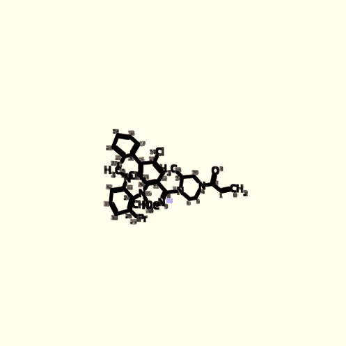 C=CC(=O)N1CCN(/C(=N/C)c2cc(Cl)c(-c3ccccc3F)nc2N(C=O)c2c(C(C)C)cccc2N(C)C)C(C)C1